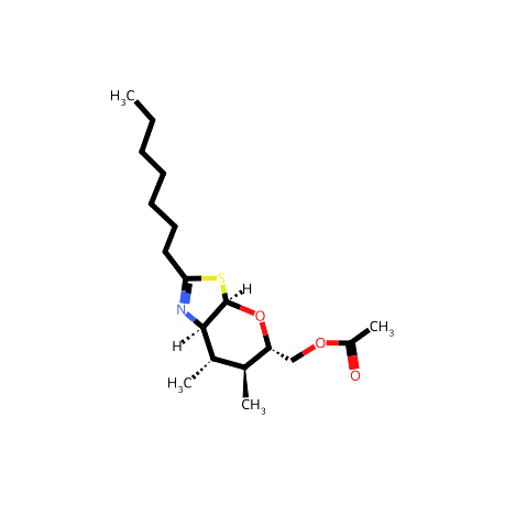 CCCCCCCC1=N[C@@H]2[C@@H](C)[C@H](C)[C@@H](COC(C)=O)O[C@@H]2S1